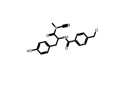 CN(C#N)C(=O)C(Cc1ccc(O)cc1)NC(=O)c1ccc(CCl)cc1